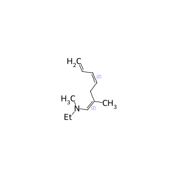 C=C/C=C\C/C(C)=C\N(C)CC